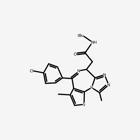 Cc1csc2c1C(c1ccc(Cl)cc1)=NC(CC(=O)NC(C)(C)C)c1nnc(C)n1-2